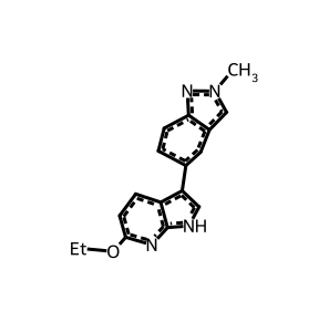 CCOc1ccc2c(-c3ccc4nn(C)cc4c3)c[nH]c2n1